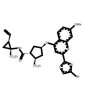 C=C[C@@H]1C[C@]1(NC(=O)[C@@H]1C[C@@H](Oc2cc(-c3nc(C(C)C)cs3)nc3cc(OC)ccc23)C[C@H]1C(=O)O)C(=O)OCC